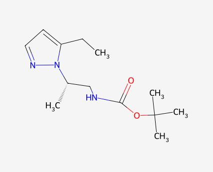 CCc1ccnn1[C@@H](C)CNC(=O)OC(C)(C)C